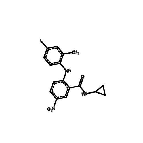 Cc1cc(I)ccc1Nc1ccc([N+](=O)[O-])cc1C(=O)NC1CC1